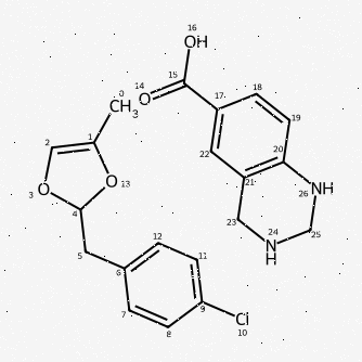 CC1=COC(Cc2ccc(Cl)cc2)O1.O=C(O)c1ccc2c(c1)CNCN2